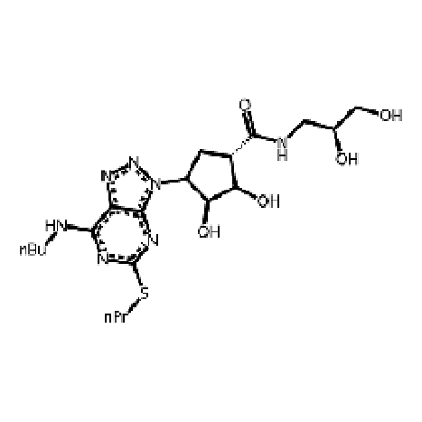 CCCCNc1nc(SCCC)nc2c1nnn2C1C[C@H](C(=O)NCC(O)CO)C(O)C1O